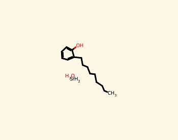 CCCCCCCCCc1ccccc1O.O.[SrH2]